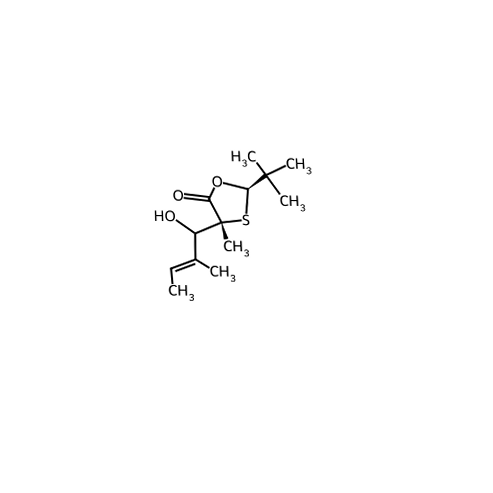 C/C=C(\C)C(O)[C@@]1(C)S[C@H](C(C)(C)C)OC1=O